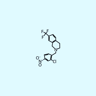 O=[N+]([O-])c1ccc(CN2CCc3ccc(C(F)(F)F)cc3C2)c(Cl)c1